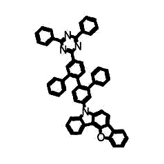 c1ccc(-c2nc(-c3ccccc3)nc(-c3ccc(-c4ccc(-n5c6ccccc6c6c7oc8ccccc8c7ccc65)cc4-c4ccccc4)c(-c4ccccc4)c3)n2)cc1